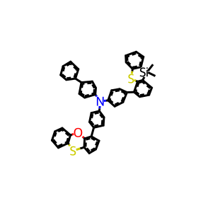 C[Si]1(C)c2ccccc2Sc2c(-c3ccc(N(c4ccc(-c5ccccc5)cc4)c4ccc(-c5cccc6c5Oc5ccccc5S6)cc4)cc3)cccc21